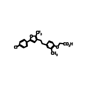 Cc1cc(CCc2cc(-c3ccc(Cl)cc3)oc2C(F)(F)F)ccc1OCC(=O)O